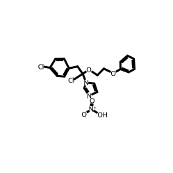 Clc1ccc(CC(Cl)(OCCOc2ccccc2)n2ccnc2)cc1.O=[N+]([O-])O